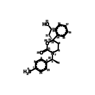 Bc1ccc([C@H](C)N2CC[C@](CCO)(c3ccccc3)OC2=O)cc1